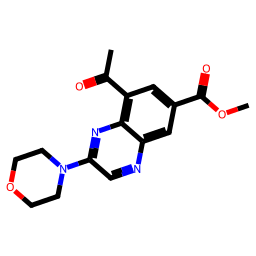 COC(=O)c1cc(C(C)=O)c2nc(N3CCOCC3)cnc2c1